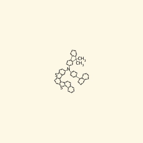 CC1(C)c2ccccc2-c2ccc(N(c3ccc(-c4cccc5ccccc45)cc3)c3ccc4sc5ccc6sc7c8ccccc8ccc7c6c5c4c3)cc21